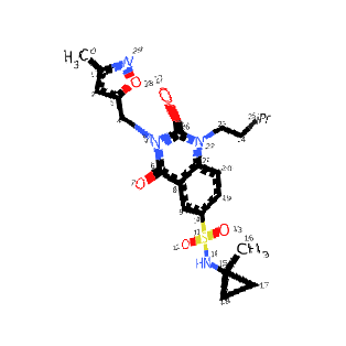 Cc1cc(Cn2c(=O)c3cc(S(=O)(=O)NC4(C)CC4)ccc3n(CCC(C)C)c2=O)on1